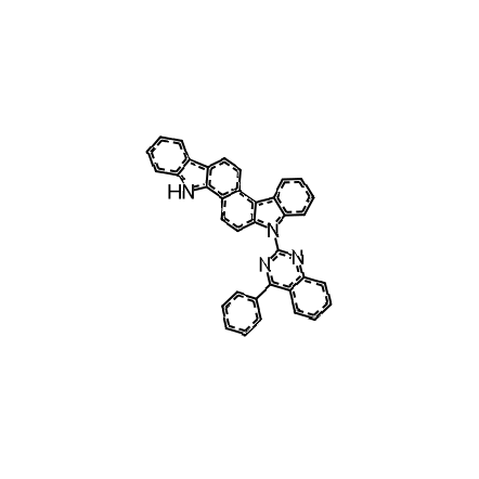 c1ccc(-c2nc(-n3c4ccccc4c4c5ccc6c7ccccc7[nH]c6c5ccc43)nc3ccccc23)cc1